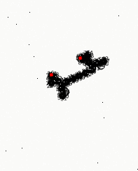 c1cc(-c2ccc(-c3ccc(-c4ccc(-c5ccc(N(c6ccc7c(c6)-c6ccccc6C76C7CC8CC(C7)CC6C8)c6ccc7c(c6)oc6ccccc67)cc5)cc4)cc3)cc2)cc(N(c2ccc3c(c2)-c2ccccc2C32C3CC4CC(C3)CC2C4)c2ccc3c(c2)oc2ccccc23)c1